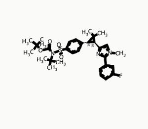 Cn1cc([C@H]2[C@H](c3ccc(S(=O)(=O)N(C(=O)OC(C)(C)C)C(C)(C)C)cc3)C2(C)C)nc1-c1cccc(F)c1